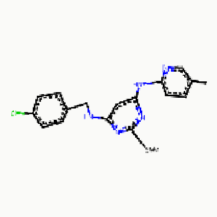 CSc1nc(NCc2ccc(Cl)cc2)cc(Nc2ccc(C)cn2)n1